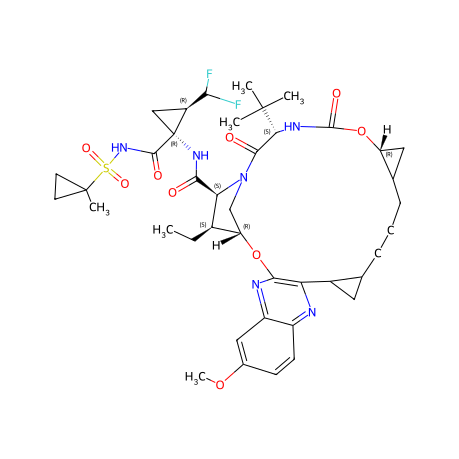 CC[C@@H]1[C@@H]2CN(C(=O)[C@H](C(C)(C)C)NC(=O)O[C@@H]3CC3CCCC3CC3c3nc4ccc(OC)cc4nc3O2)[C@@H]1C(=O)N[C@]1(C(=O)NS(=O)(=O)C2(C)CC2)C[C@H]1C(F)F